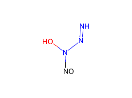 N=NN(O)N=O